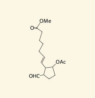 COC(=O)CCCCC=CC1C(C=O)CCC1OC(C)=O